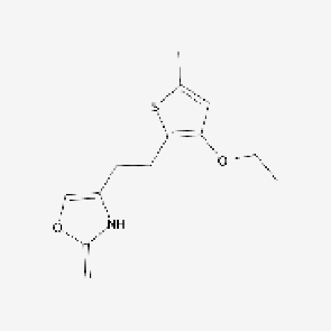 C=C1NC(CCc2sc(C)cc2OCC)=CO1